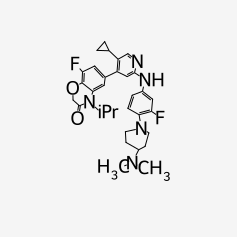 CC(C)N1C(=O)COc2c(F)cc(-c3cc(Nc4ccc(N5CCC(N(C)C)CC5)c(F)c4)ncc3C3CC3)cc21